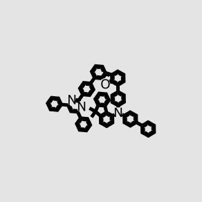 CC1(C)c2ccccc2-c2c(N(c3ccc(-c4ccccc4)cc3)c3ccc(-c4cccc5c4oc4c(-c6ccc(-c7nc(-c8ccccc8)cc(-c8ccccc8)n7)cc6)cccc45)cc3)cccc21